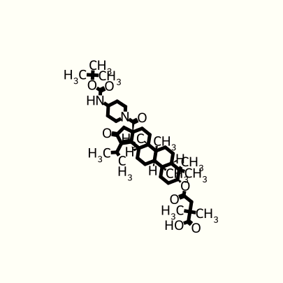 CC(C)C1=C2[C@H]3CC[C@@H]4[C@@]5(C)CC[C@H](OC(=O)CC(C)(C)C(=O)O)C(C)(C)[C@@H]5CC[C@@]4(C)[C@]3(C)CC[C@@]2(C(=O)N2CCC(NC(=O)OC(C)(C)C)CC2)CC1=O